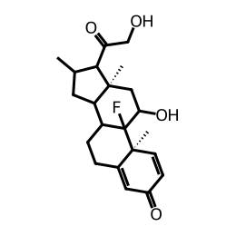 CC1CC2C3CCC4=CC(=O)C=C[C@]4(C)C3(F)C(O)C[C@]2(C)C1C(=O)CO